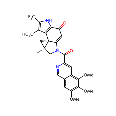 COc1cc2cnc(C(=O)N3C[C@H]4C[C@@]45C3=CC(=O)c3[nH]c(C(F)(F)F)c(C(=O)O)c35)cc2c(OC)c1OC